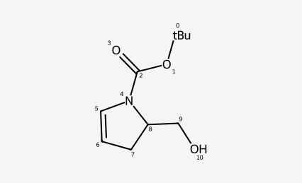 CC(C)(C)OC(=O)N1C=CCC1CO